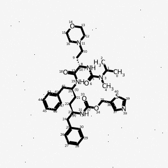 CC(C)N(C)C(=O)N[C@@H](CCN1CCOCC1)C(=O)N[C@@H](CC[C@H](Cc1ccccc1)NC(=O)OCc1cncs1)Cc1ccccc1